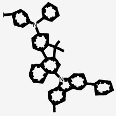 Cc1ccc2c(c1)c1cc(-c3ccccc3)ccc1n2-c1cc2c(c3ccccc13)-c1ccc(N(c3ccccc3)c3ccc(I)cc3)cc1C2(C)C